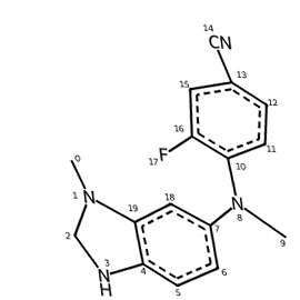 CN1CNc2ccc(N(C)c3ccc(C#N)cc3F)cc21